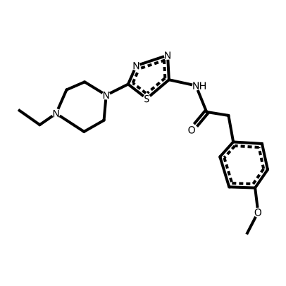 CCN1CCN(c2nnc(NC(=O)Cc3ccc(OC)cc3)s2)CC1